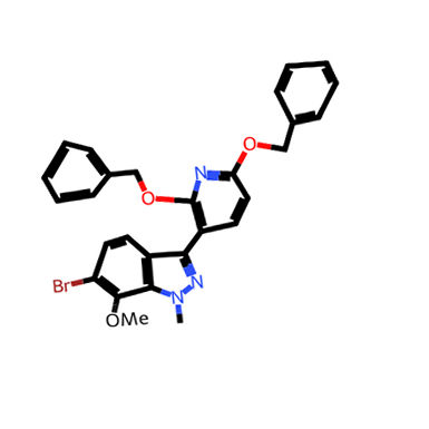 COc1c(Br)ccc2c(-c3ccc(OCc4ccccc4)nc3OCc3ccccc3)nn(C)c12